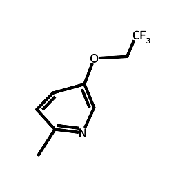 Cc1ccc(OCC(F)(F)F)cn1